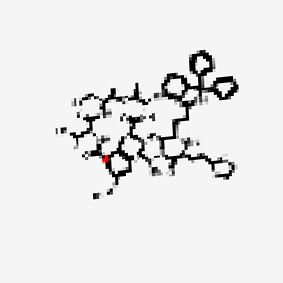 CC[C@H](C)[C@H](NC(=O)[C@H](Cc1ccc(OC(C)(C)C)cc1)N(C)C(=O)[C@H]([C@@H](C)CC)N(C(=O)[C@@H](N)CCC(=O)NC(c1ccccc1)(c1ccccc1)c1ccccc1)C(=O)[C@@H](N)CCC1OCCO1)C(=O)OC(=O)[C@H](CC(C)C)NC(=O)[C@@H](NC(=O)C(C)C)[C@@H](C)O